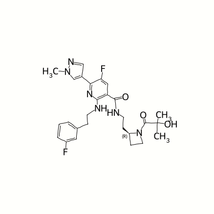 Cn1cc(-c2nc(NCCc3cccc(F)c3)c(C(=O)NCC[C@@H]3CCN3C(=O)C(C)(C)O)cc2F)cn1